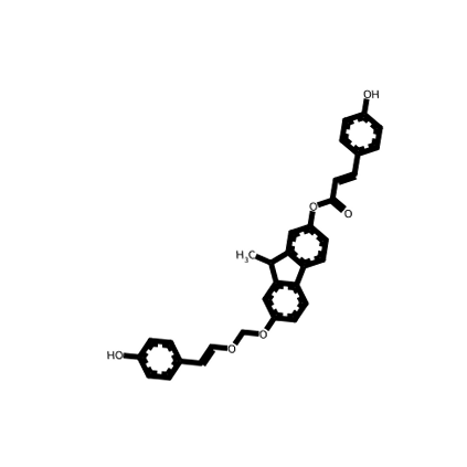 CC1c2cc(OCOC=Cc3ccc(O)cc3)ccc2-c2ccc(OC(=O)C=Cc3ccc(O)cc3)cc21